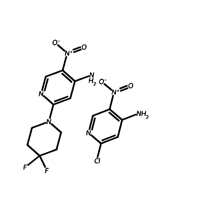 Nc1cc(Cl)ncc1[N+](=O)[O-].Nc1cc(N2CCC(F)(F)CC2)ncc1[N+](=O)[O-]